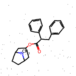 CN1C2CCC1CC(OC(=O)C(Cc1ccccc1)c1ccccc1)C2